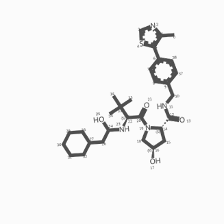 Cc1ncsc1-c1ccc(CNC(=O)[C@@H]2C[C@@H](O)CN2C(=O)[C@@H](NC(O)CC2CCCCC2)C(C)(C)C)cc1